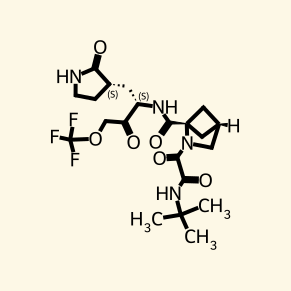 CC(C)(C)NC(=O)C(=O)N1C[C@H]2C[C@]1(C(=O)N[C@@H](C[C@@H]1CCNC1=O)C(=O)COC(F)(F)F)C2